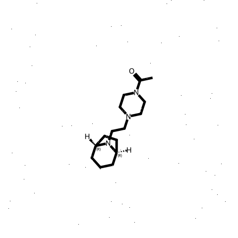 CC(=O)N1CCN(CCN2[C@@H]3C[CH]C[C@@H]2CC3)CC1